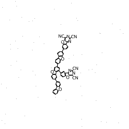 N#Cc1nc(C#N)c2oc3cc(-c4ccc5c(c4)oc4cc(-c6cc(-c7ccc8oc9c(C#N)nc(C#N)nc9c8c7)c7c(c6)oc6ccc(-c8ccc9oc%10ccccc%10c9c8)cc67)ccc45)ccc3c2n1